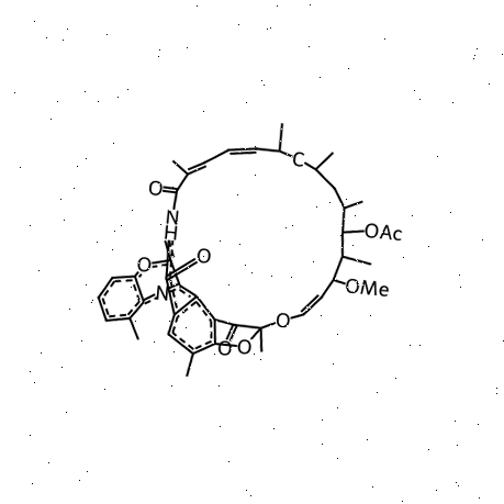 COC1C=COC2(C)Oc3c(C)cc4c(=O)c(c5oc6cccc(C)c6nc-5c4c3C2=O)NC(=O)C(C)=CC=CC(C)CC(C)CC(C)C(OC(C)=O)C1C